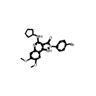 COc1cc2nc(NC3CCCC3)c3c(=O)n(-c4ccc(Br)cc4)[nH]c3c2cc1OC